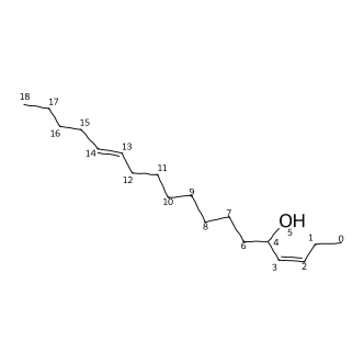 CC/C=C\C(O)CCCCCCCC=CCCCC